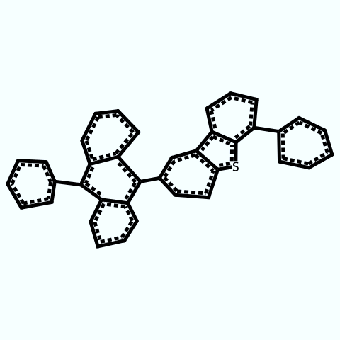 c1ccc(-c2c3ccccc3c(-c3ccc4sc5c(-c6ccccc6)cccc5c4c3)c3ccccc23)cc1